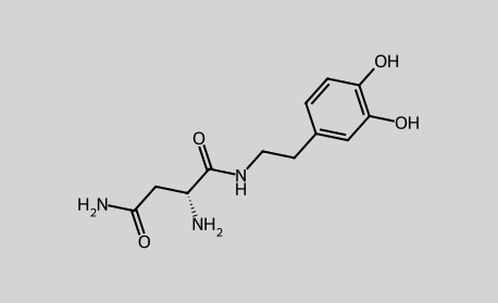 NC(=O)C[C@@H](N)C(=O)NCCc1ccc(O)c(O)c1